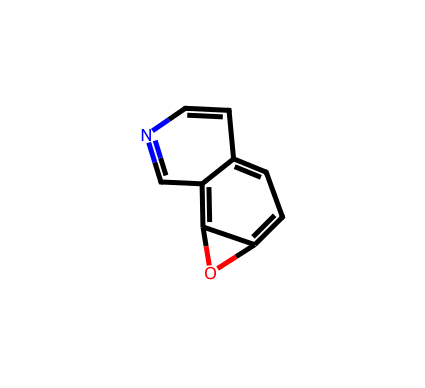 c1cc2ccc3c(c2cn1)O3